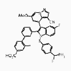 COc1cc(-c2c(-c3cccc(-c4ccc(C(=O)O)cc4C)c3)n(Sc3ccc(C(F)P)cc3)c3ccc(F)cc23)c2c(C#N)cnn2c1